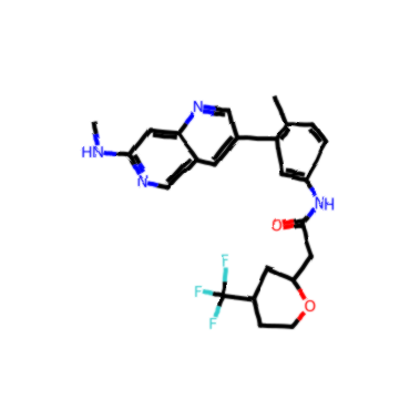 CNc1cc2ncc(-c3cc(NC(=O)CC4CC(C(F)(F)F)CCO4)ccc3C)cc2cn1